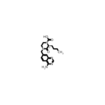 CCCC[C@H]1C(=O)N(Cc2ccc3c(N)ncnc3c2)CCN1C(=O)O